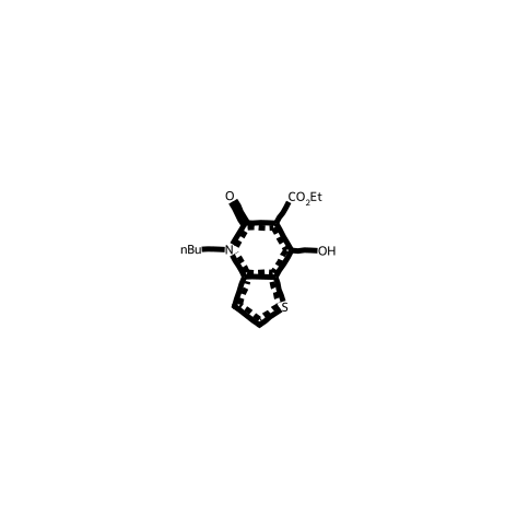 CCCCn1c(=O)c(C(=O)OCC)c(O)c2sccc21